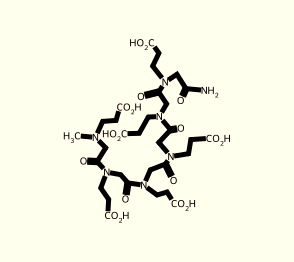 CN(CCC(=O)O)CC(=O)N(CCC(=O)O)CC(=O)N(CCC(=O)O)CC(=O)N(CCC(=O)O)CC(=O)N(CCC(=O)O)CC(=O)N(CCC(=O)O)CC(N)=O